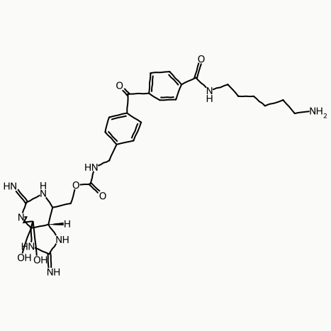 N=C1N[C@H]2C(COC(=O)NCc3ccc(C(=O)c4ccc(C(=O)NCCCCCCN)cc4)cc3)NC(=N)N3CCC(O)(O)C23N1